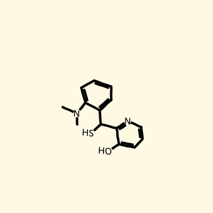 CN(C)c1ccccc1C(S)c1ncccc1O